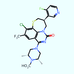 C[C@@H]1CN(c2nc(=O)n3c4c(c(Cl)c(C(F)(F)F)cc24)SC[C@@H](c2cnccc2F)C3)C[C@H](C)N1C(=O)O